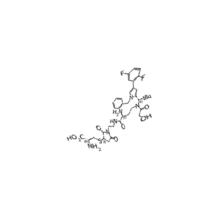 CC(C)(C)[C@H](c1cc(-c2cc(F)ccc2F)cn1Cc1ccccc1)N(CC[C@H](N)C(=O)NCCN1C(=O)C[C@@H](SC[C@H](N)C(=O)O)C1=O)C(=O)CO